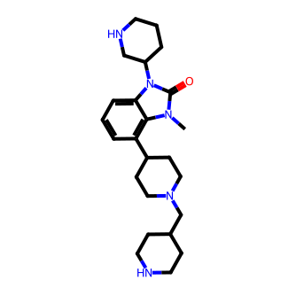 Cn1c(=O)n(C2CCCNC2)c2cccc(C3CCN(CC4CCNCC4)CC3)c21